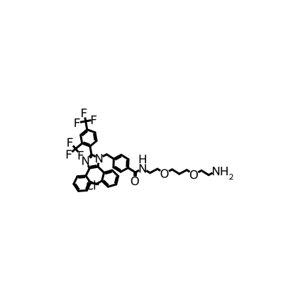 Cc1ccccc1-c1nc(-c2ccc(C(F)(F)F)cc2C(F)(F)F)n(Cc2ccc(C(=O)NCCOCCCOCCN)cc2)c1-c1ccccc1Cl